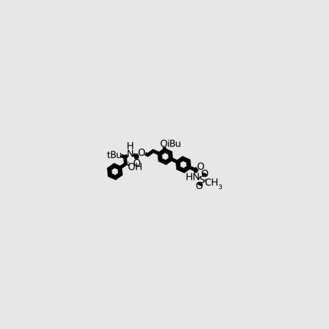 CC(C)COc1cc(-c2ccc(C(=O)NS(C)(=O)=O)cc2)ccc1CCOC(=O)NC([C@H](O)c1ccccc1)C(C)(C)C